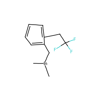 [CH3][In]([CH3])[CH2]c1ccccc1CC(F)(F)F